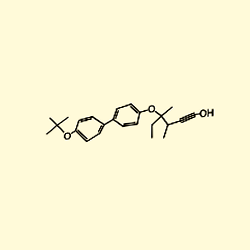 CCC(C)(Oc1ccc(-c2ccc(OC(C)(C)C)cc2)cc1)C(C)C#CO